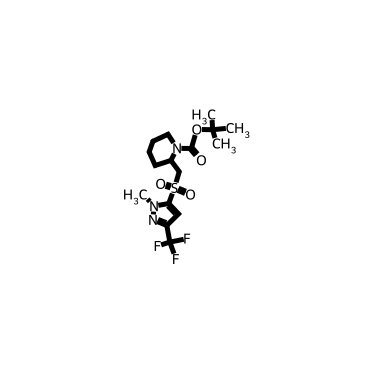 Cn1nc(C(F)(F)F)cc1S(=O)(=O)CC1CCCCN1C(=O)OC(C)(C)C